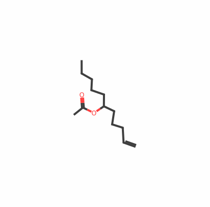 C=CCCCC(CCCCC)OC(C)=O